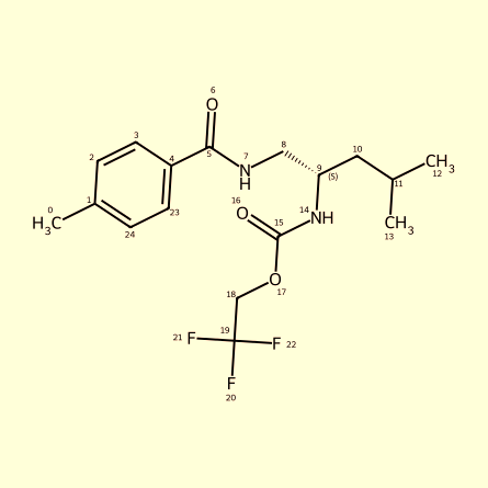 Cc1ccc(C(=O)NC[C@H](CC(C)C)NC(=O)OCC(F)(F)F)cc1